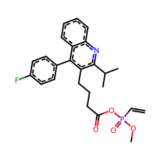 C=CP(=O)(OC)OC(=O)CCCc1c(C(C)C)nc2ccccc2c1-c1ccc(F)cc1